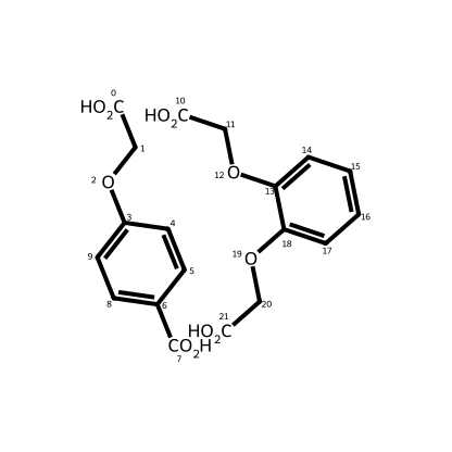 O=C(O)COc1ccc(C(=O)O)cc1.O=C(O)COc1ccccc1OCC(=O)O